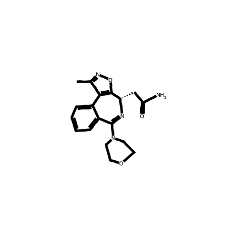 Cc1noc2c1-c1ccccc1C(N1CCOCC1)=N[C@H]2CC(N)=O